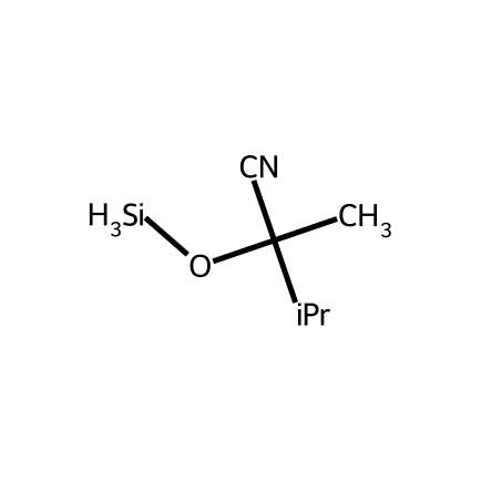 CC(C)C(C)(C#N)O[SiH3]